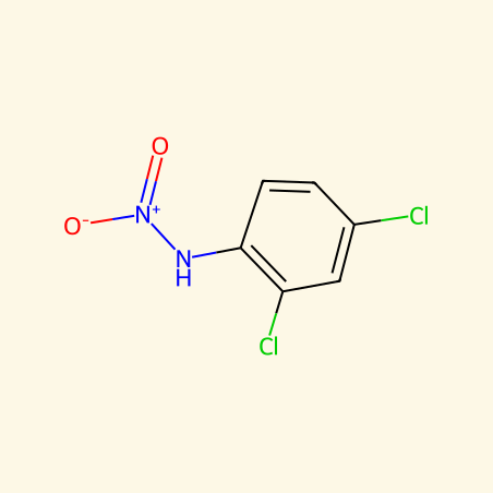 O=[N+]([O-])Nc1ccc(Cl)cc1Cl